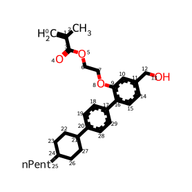 C=C(C)C(=O)OCCOc1cc(CO)ccc1-c1ccc(C2CCC(CCCCC)CC2)cc1